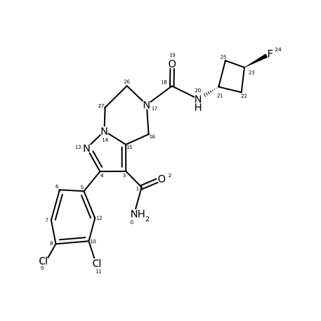 NC(=O)c1c(-c2ccc(Cl)c(Cl)c2)nn2c1CN(C(=O)N[C@H]1C[C@H](F)C1)CC2